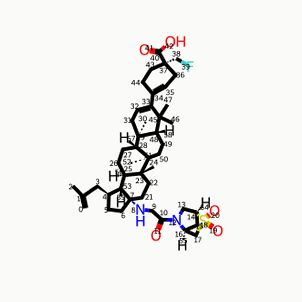 C=C(C)C[C@@H]1CC[C@]2(NCC(=O)N3C[C@@H]4C[C@H]3CS4(=O)=O)CC[C@]3(C)[C@H](CC[C@@H]4[C@@]5(C)CC=C(C6=CC[C@](CF)(C(=O)O)CC6)C(C)(C)[C@@H]5CC[C@]43C)[C@@H]12